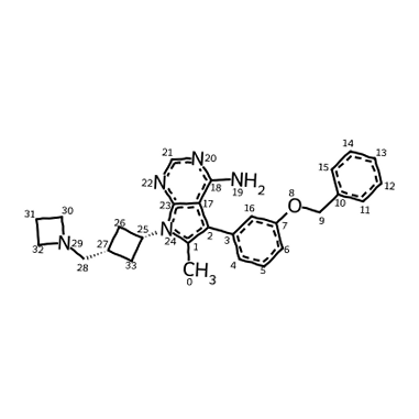 Cc1c(-c2cccc(OCc3ccccc3)c2)c2c(N)ncnc2n1[C@H]1C[C@@H](CN2CCC2)C1